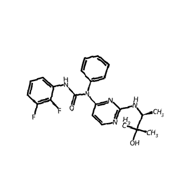 C[C@H](Nc1nccc(N(C(=O)Nc2cccc(F)c2F)c2ccccc2)n1)C(C)(C)O